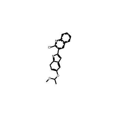 COC(C)OC1=CCC2=NC(c3cc4ccccc4nc3Cl)=CC2=C1